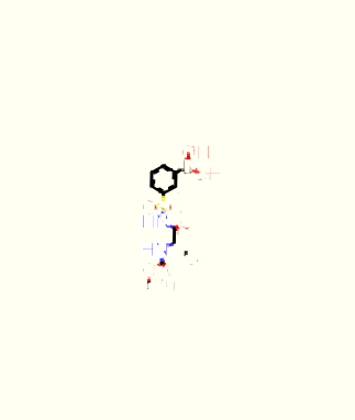 CC(C)C[C@H](NC(=O)OC(C)(C)C)C(=O)NS(=O)(=O)c1cccc(B(O)O)c1